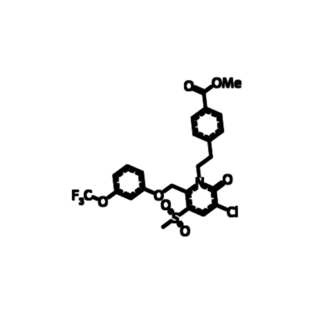 COC(=O)c1ccc(CCn2c(COc3cccc(OC(F)(F)F)c3)c(S(C)(=O)=O)cc(Cl)c2=O)cc1